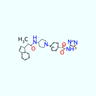 C[C@H](C(=O)NC1CCN(c2ccc(S(=O)(=O)Nc3ncns3)cc2)CC1)C1C=Cc2ccccc21